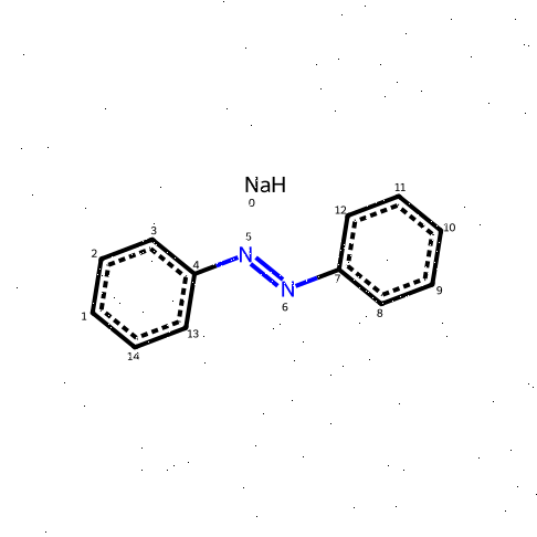 [NaH].c1ccc(/N=N/c2ccccc2)cc1